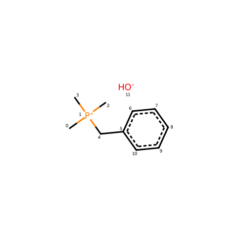 C[P+](C)(C)Cc1ccccc1.[OH-]